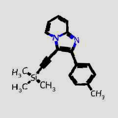 Cc1ccc(-c2nc3ccccn3c2C#C[Si](C)(C)C)cc1